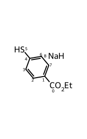 CCOC(=O)c1ccc(S)cc1.[NaH]